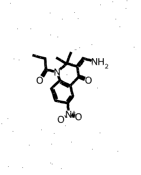 CCC(=O)N1c2ccc([N+](=O)[O-])cc2C(=O)C(=CN)C1(C)C